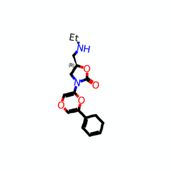 CCNC[C@@H]1CN(C2=COC=C(C3=CC=CCC3)O2)C(=O)O1